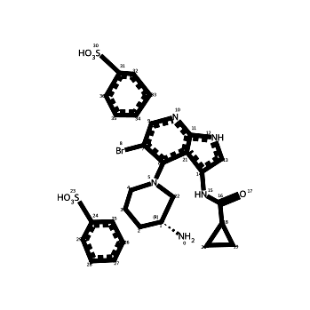 N[C@@H]1CCCN(c2c(Br)cnc3[nH]cc(NC(=O)C4CC4)c23)C1.O=S(=O)(O)c1ccccc1.O=S(=O)(O)c1ccccc1